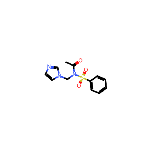 CC(=O)N(Cn1ccnc1)S(=O)(=O)c1ccccc1